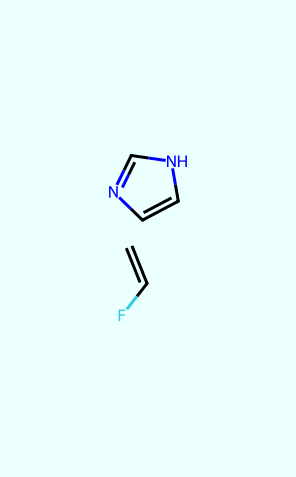 C=CF.c1c[nH]cn1